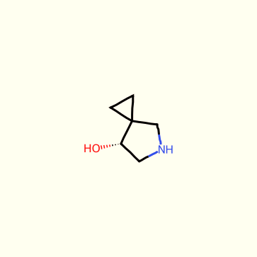 O[C@H]1CNCC12CC2